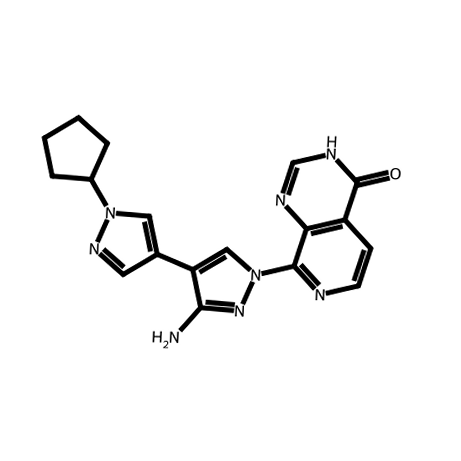 Nc1nn(-c2nccc3c(=O)[nH]cnc23)cc1-c1cnn(C2CCCC2)c1